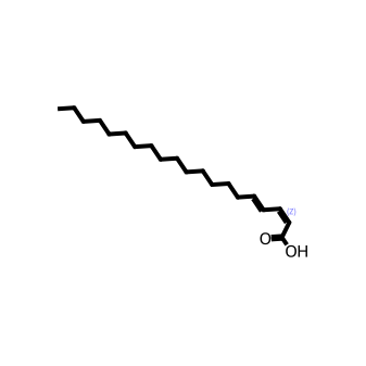 CCCCCCCCCCCCCCCC=C/C=C\C(=O)O